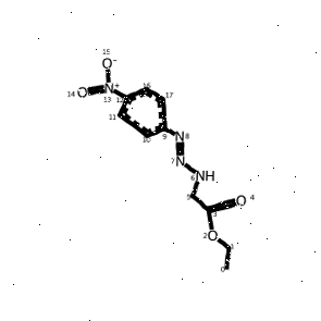 CCOC(=O)CN/N=N/c1ccc([N+](=O)[O-])cc1